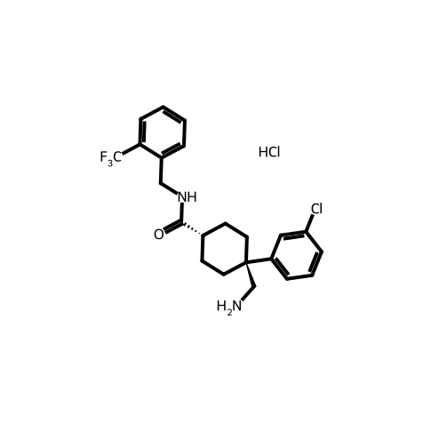 Cl.NC[C@]1(c2cccc(Cl)c2)CC[C@@H](C(=O)NCc2ccccc2C(F)(F)F)CC1